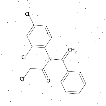 C=C(c1ccccc1)N(C(=O)CCl)c1ccc(Cl)cc1Cl